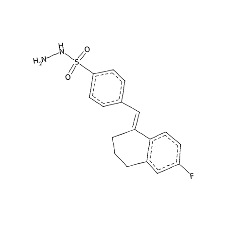 NNS(=O)(=O)c1ccc(C=C2CCCc3cc(F)ccc32)cc1